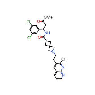 COC(=O)CC(NC(=O)C1CC2(C1)CN(CCc1cc3cccnc3nc1C)C2)c1cc(Cl)cc(Cl)c1